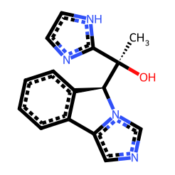 C[C@@](O)(c1ncc[nH]1)[C@@H]1c2ccccc2-c2cncn21